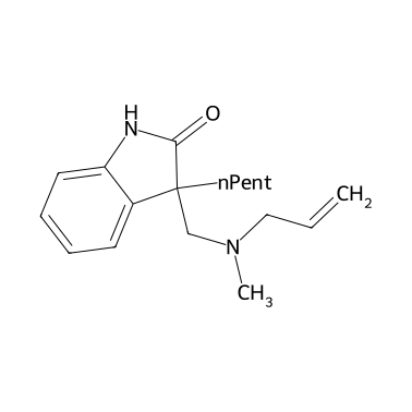 C=CCN(C)CC1(CCCCC)C(=O)Nc2ccccc21